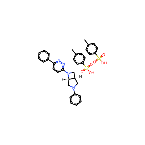 Cc1ccc(S(=O)(=O)O)cc1.Cc1ccc(S(=O)(=O)O)cc1.c1ccc(-c2ccc(N3C[C@H]4CN(c5ccccc5)C[C@H]43)nn2)cc1